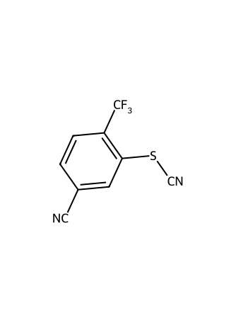 N#CSc1cc(C#N)ccc1C(F)(F)F